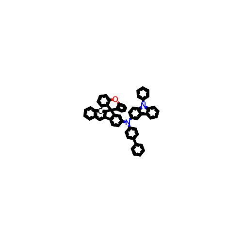 c1ccc(-c2ccc(N(c3ccc4c(c3)C3(c5ccccc5Oc5ccccc53)c3cc5ccccc5cc3-4)c3ccc4c(c3)c3ccccc3n4-c3ccccc3)cc2)cc1